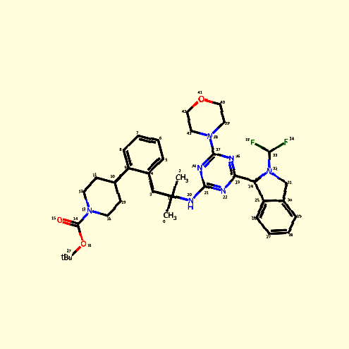 CC(C)(Cc1ccccc1C1CCN(C(=O)OC(C)(C)C)CC1)Nc1nc(C2c3ccccc3CN2C(F)F)nc(N2CCOCC2)n1